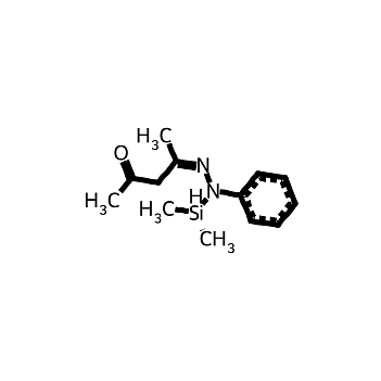 CC(=O)CC(C)=NN(c1ccccc1)[SiH](C)C